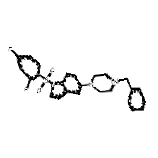 O=S(=O)(c1ccc(F)cc1F)n1ccc2cc(N3CCN(Cc4ccccc4)CC3)ccc21